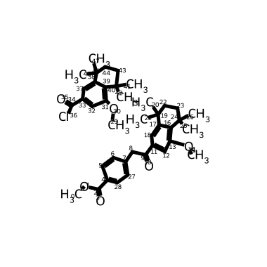 COC(=O)c1ccc(CC(=O)c2cc(OC)c3c(c2)C(C)(C)CCC3(C)C)cc1.COc1cc(C(=O)Cl)cc2c1C(C)(C)CCC2(C)C